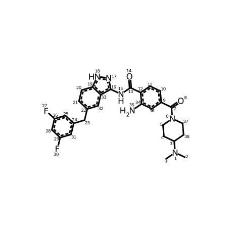 CN(C)C1CCN(C(=O)c2ccc(C(=O)Nc3n[nH]c4ccc(Cc5cc(F)cc(F)c5)cc34)c(N)c2)CC1